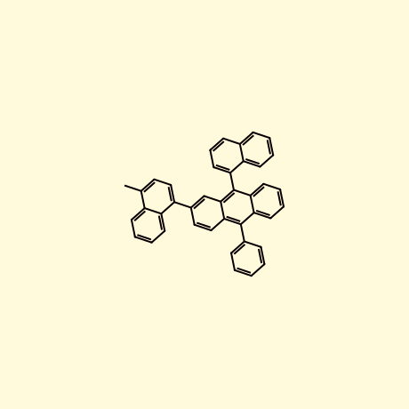 Cc1ccc(-c2ccc3c(-c4ccccc4)c4ccccc4c(-c4cccc5ccccc45)c3c2)c2ccccc12